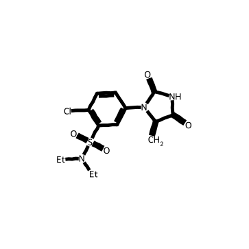 C=C1C(=O)NC(=O)N1c1ccc(Cl)c(S(=O)(=O)N(CC)CC)c1